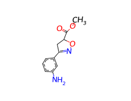 COC(=O)C1CC(c2cccc(N)c2)=NO1